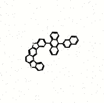 C1=CC2=CC=C(c3c4ccccc4c(-c4ccc5sc6cc7ccc8sc9ccccc9c8c7cc6c5c4)c4ccccc34)CC2C=C1